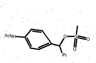 CC(=O)Nc1ccc(C(OS(C)(=O)=O)C(C)C)cc1